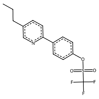 CCCc1ccc(-c2ccc(OS(=O)(=O)C(F)(F)F)cc2)nc1